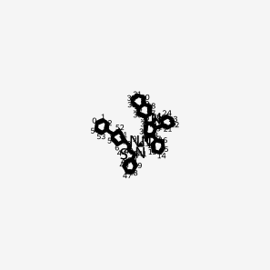 c1ccc(-c2ccc(-c3nc(-n4c5ccccc5c5c6c7ccccc7n7c8cc9ccccc9cc8c(cc54)c67)nc4c3sc3ccccc34)cc2)cc1